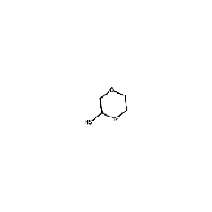 SC1COCC[N]1